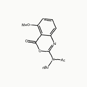 CCCCN(C(C)=O)c1nc2cccc(OC)c2c(=O)o1